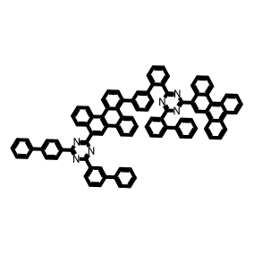 c1ccc(-c2ccc(-c3nc(-c4cccc(-c5ccccc5)c4)nc(-c4cc5c6ccccc6c6c(-c7cccc(-c8ccccc8-c8nc(-c9ccccc9-c9ccccc9)nc(-c9cc%10c%11ccccc%11c%11ccccc%11c%10c%10ccccc9%10)n8)c7)cccc6c5c5ccccc45)n3)cc2)cc1